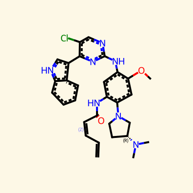 C=C/C=C\C(=O)Nc1cc(Nc2ncc(Cl)c(-c3c[nH]c4ccccc34)n2)c(OC)cc1N1CC[C@@H](N(C)C)C1